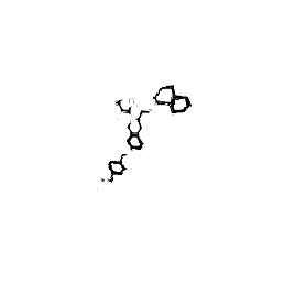 COC(=O)c1ccc(COc2ccc3c(c2)CN(C(=O)C(N)C(C)(C)C)C(C(=O)N[C@@H]2CCCc4ccccc42)C3)cc1